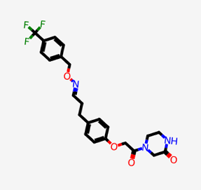 O=C1CN(C(=O)COc2ccc(CCC=NOCc3ccc(C(F)(F)F)cc3)cc2)CCN1